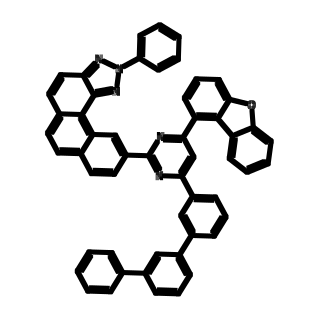 c1ccc(-c2cccc(-c3cccc(-c4cc(-c5cccc6oc7ccccc7c56)nc(-c5ccc6ccc7ccc8nn(-c9ccccc9)nc8c7c6c5)n4)c3)c2)cc1